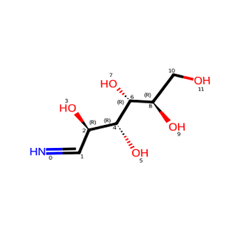 N=C[C@@H](O)[C@@H](O)[C@H](O)[C@H](O)CO